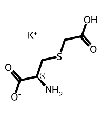 N[C@H](CSCC(=O)O)C(=O)[O-].[K+]